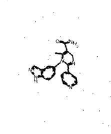 CC1=C(C(N)=O)CN=C(c2ccncc2)N1c1ccc2[nH]ncc2c1